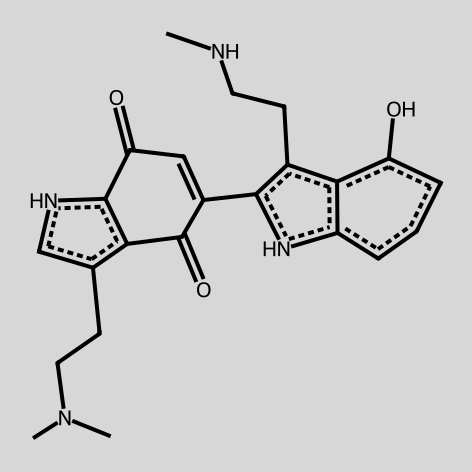 CNCCc1c(C2=CC(=O)c3[nH]cc(CCN(C)C)c3C2=O)[nH]c2cccc(O)c12